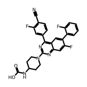 N#Cc1ccc(-c2nc(N3CCC(NC(=O)O)CC3)nc3cc(F)c(-c4ccccc4F)cc23)cc1F